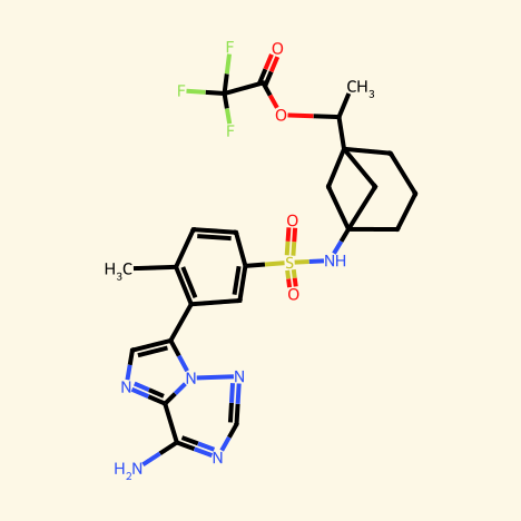 Cc1ccc(S(=O)(=O)NC23CCCC(C(C)OC(=O)C(F)(F)F)(C2)C3)cc1-c1cnc2c(N)ncnn12